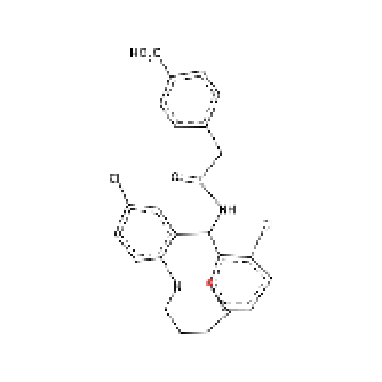 O=C(Cc1ccc(C(=O)O)cc1)NC(c1ccccc1Cl)c1cc(Cl)ccc1N1CCCCC1